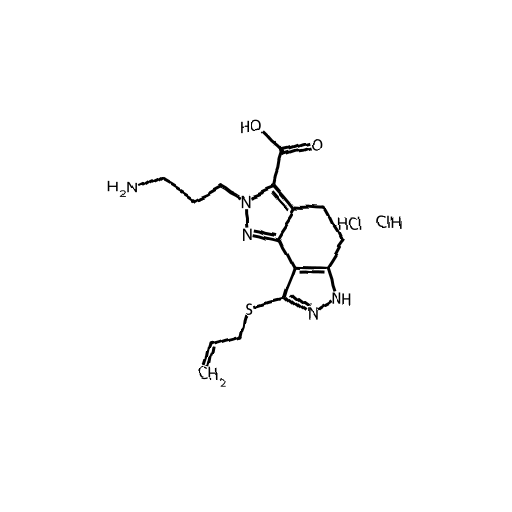 C=CCSc1n[nH]c2c1-c1nn(CCCN)c(C(=O)O)c1CC2.Cl.Cl